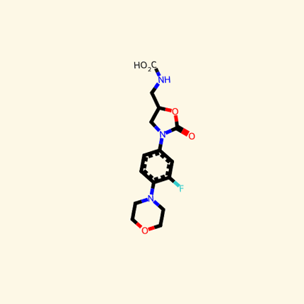 O=C(O)NCC1CN(c2ccc(N3CCOCC3)c(F)c2)C(=O)O1